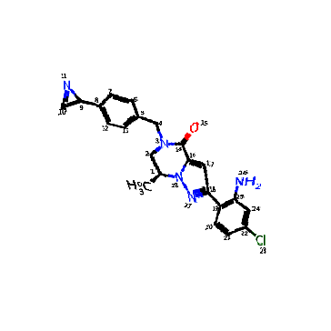 C[C@H]1CN(Cc2ccc(C3C=N3)cc2)C(=O)c2cc(-c3ccc(Cl)cc3N)nn21